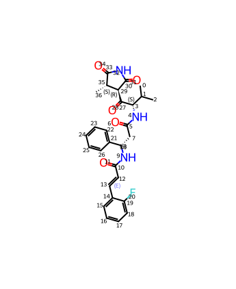 CC(C)[C@H](NC(=O)C[C@H](NC(=O)/C=C/c1ccccc1F)c1ccccc1)C(=O)[C@@H]1C(=O)NC(=O)[C@H]1C